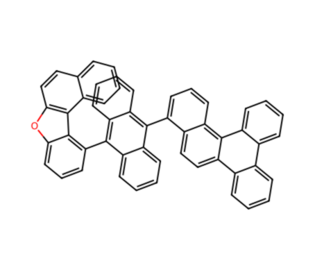 c1ccc2c(c1)ccc1oc3cccc(-c4c5ccccc5c(-c5cccc6c5ccc5c7ccccc7c7ccccc7c65)c5ccccc45)c3c12